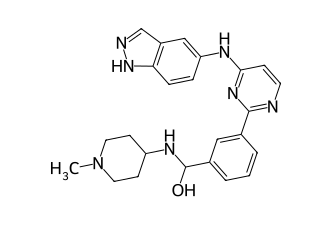 CN1CCC(NC(O)c2cccc(-c3nccc(Nc4ccc5[nH]ncc5c4)n3)c2)CC1